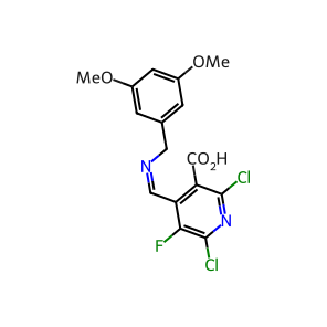 COc1cc(C/N=C\c2c(F)c(Cl)nc(Cl)c2C(=O)O)cc(OC)c1